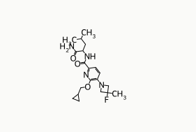 CC(C)CC(NC(=O)c1ccc(N2CC(C)(F)C2)c(OCC2CC2)n1)C(N)=O